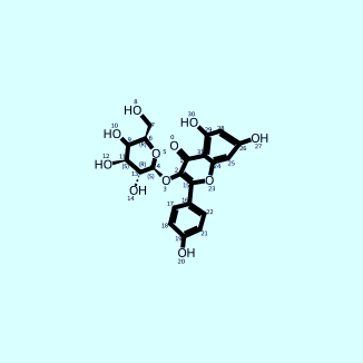 O=c1c(O[C@@H]2O[C@H](CO)C(O)[C@H](O)[C@H]2O)c(-c2ccc(O)cc2)oc2cc(O)cc(O)c12